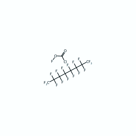 FC(F)(F)C(F)(F)C(F)(F)C(F)(F)C(F)(F)C(F)(F)C(F)(F)C(F)(F)F.O=C(Cl)OF